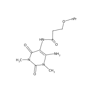 CCCOCCC(=O)Nc1c(N)n(C)c(=O)n(C)c1=O